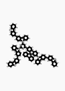 c1ccc2c(c1)-c1ccccc1C21c2cc(-c3cc(-n4c5ccccc5c5cc(-c6ccc7oc8ccccc8c7c6)ccc54)nc(-n4c5ccccc5c5cc(-c6ccc7oc8ccccc8c7c6)ccc54)n3)ccc2-c2ccc(-n3c4ccccc4c4cc(-c5ccc6oc7ccccc7c6c5)ccc43)cc21